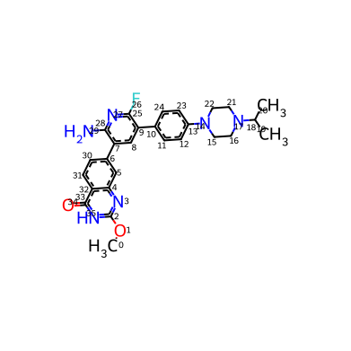 COc1nc2cc(-c3cc(-c4ccc(N5CCN(C(C)C)CC5)cc4)c(F)nc3N)ccc2c(=O)[nH]1